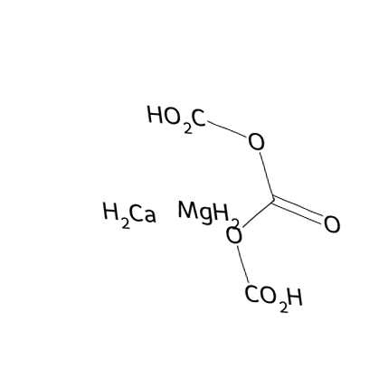 O=C(O)OC(=O)OC(=O)O.[CaH2].[MgH2]